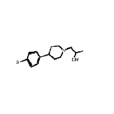 CC(O)CN1CCC(c2ccc(Br)cc2)CC1